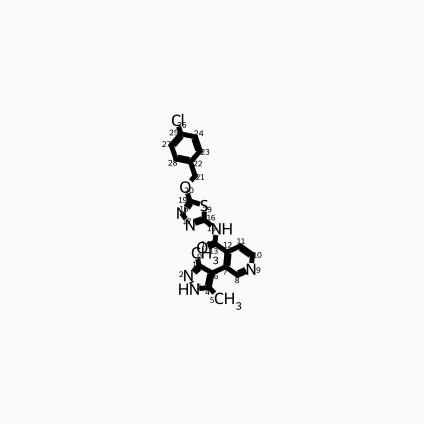 Cc1n[nH]c(C)c1-c1cnccc1C(=O)Nc1nnc(OCc2ccc(Cl)cc2)s1